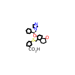 O=C(O)c1cccc(SCc2c(O[C@H](Cn3ccnc3)c3ccccc3)ccc3c2CCCC3=O)c1